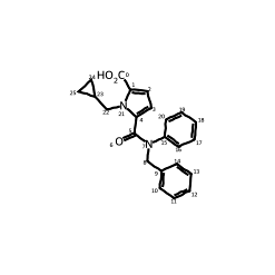 O=C(O)c1ccc(C(=O)N(Cc2ccccc2)c2ccccc2)n1CC1CC1